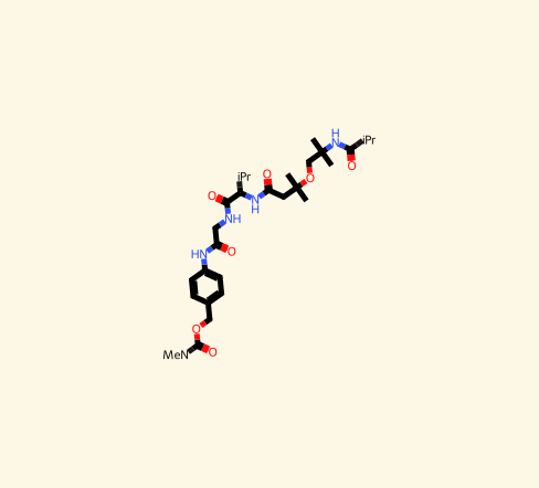 CNC(=O)OCc1ccc(NC(=O)CNC(=O)C(NC(=O)CC(C)(C)OCC(C)(C)NC(=O)C(C)C)C(C)C)cc1